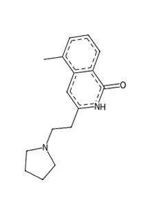 Cc1cccc2c(=O)[nH]c(CCN3CCCC3)cc12